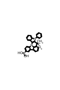 CC1(C)c2cccc3c4cc(B(O)O)ccc4n(c23)-c2c1n(-c1ccccc1)c1ccccc21